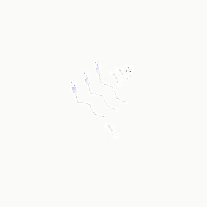 CCCCC#N.CCCCC#N.CCCCC#N.[C]=O.[C]=O.[C]=O.[W]